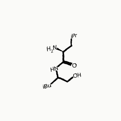 CCC(C)C(CO)NC(=O)[C@@H](N)CC(C)C